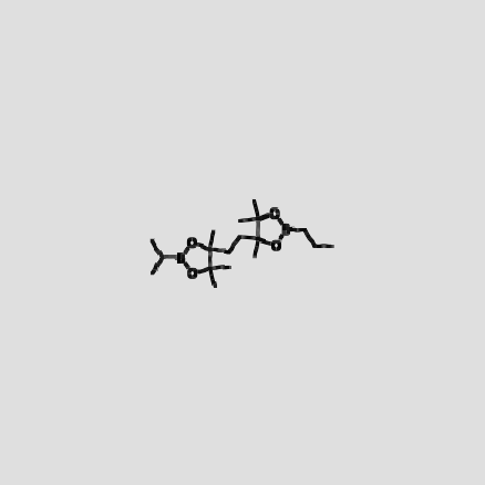 CCCB1OC(C)(C)C(C)(CCC2(C)OB(C(C)C)OC2(C)C)O1